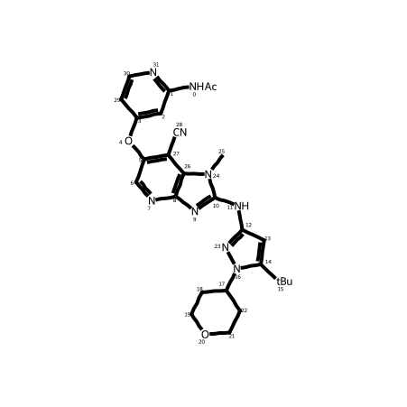 CC(=O)Nc1cc(Oc2cnc3nc(Nc4cc(C(C)(C)C)n(C5CCOCC5)n4)n(C)c3c2C#N)ccn1